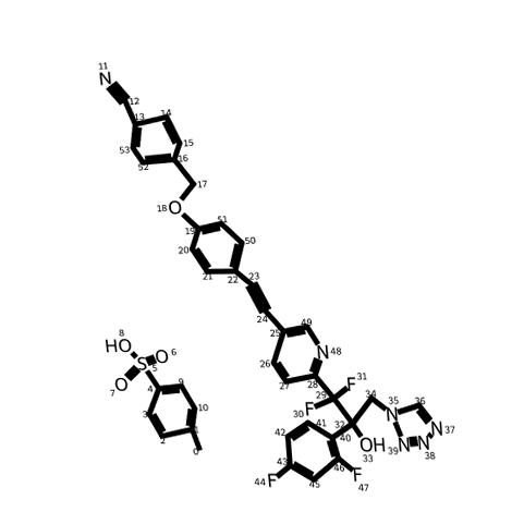 Cc1ccc(S(=O)(=O)O)cc1.N#Cc1ccc(COc2ccc(C#Cc3ccc(C(F)(F)C(O)(Cn4cnnn4)c4ccc(F)cc4F)nc3)cc2)cc1